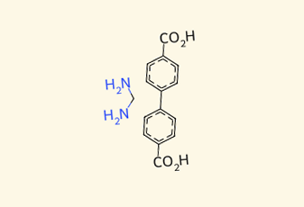 NCN.O=C(O)c1ccc(-c2ccc(C(=O)O)cc2)cc1